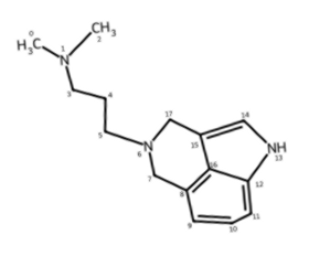 CN(C)CCCN1Cc2cccc3[nH]cc(c23)C1